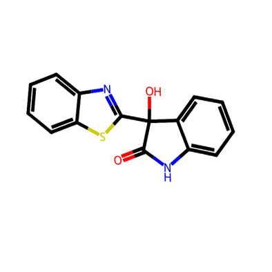 O=C1Nc2ccccc2C1(O)c1nc2ccccc2s1